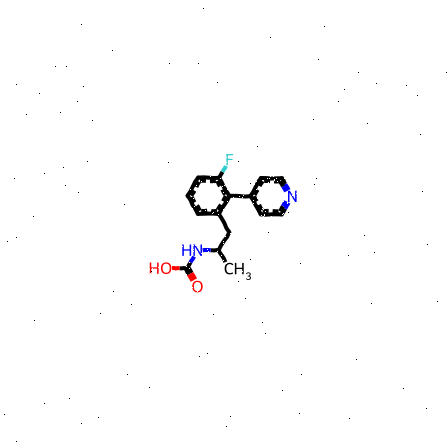 CC(Cc1cccc(F)c1-c1ccncc1)NC(=O)O